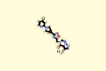 Cc1cnn2ncn(Cc3nc(C4C5CN(c6cc(Cl)ccn6)CC54)no3)c(=O)c12